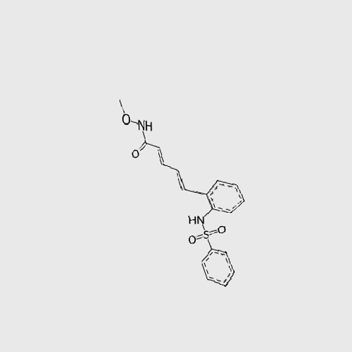 CONC(=O)C=CC=Cc1ccccc1NS(=O)(=O)c1ccccc1